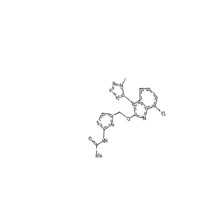 CCCCC(=O)Nc1nc(COc2nc3c(Cl)cccc3n2-c2nnnn2C)cs1